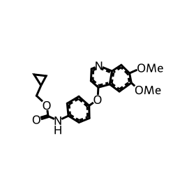 COc1cc2nccc(Oc3ccc(NC(=O)OCC4CC4)cc3)c2cc1OC